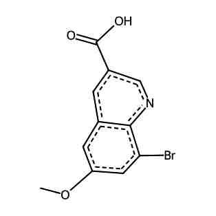 COc1cc(Br)c2ncc(C(=O)O)cc2c1